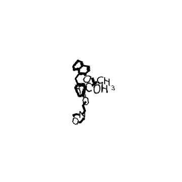 CC(C)(O)COc1ccc2ccccc2c1Cc1ccc(OCCN2CCOCC2)cc1